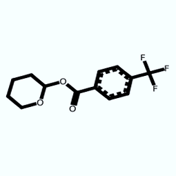 O=C(OC1CCCCO1)c1ccc(C(F)(F)F)cc1